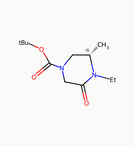 CCN1C(=O)CN(C(=O)OC(C)(C)C)C[C@@H]1C